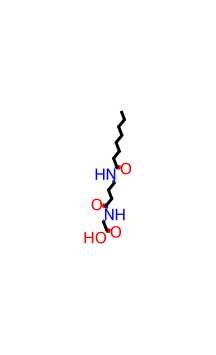 CCCCCCCC(=O)NCCCC(=O)NCC(=O)O